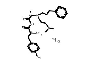 C[C@H](C(=O)NC(=O)[C@@H](N)Cc1ccc(O)cc1)N(CCCc1ccccc1)CCN(C)C.Cl.Cl